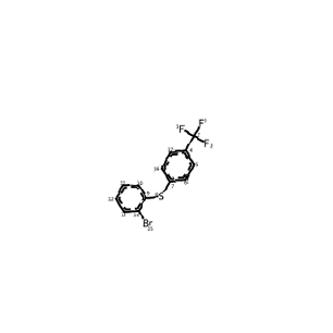 FC(F)(F)c1ccc(Sc2ccccc2Br)cc1